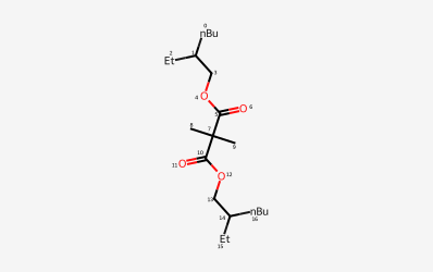 CCCCC(CC)COC(=O)C(C)(C)C(=O)OCC(CC)CCCC